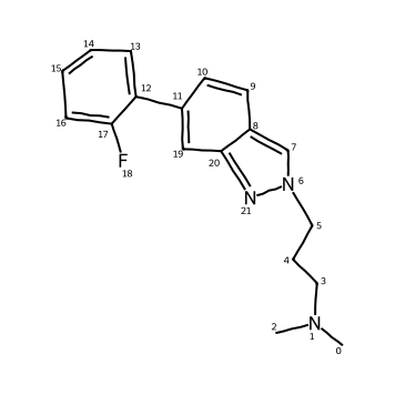 CN(C)CCCn1cc2ccc(-c3ccccc3F)cc2n1